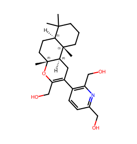 CC1(C)CCC[C@]2(C)[C@H]3CC(c4ccc(CO)nc4CO)=C(CO)O[C@]3(C)CC[C@@H]12